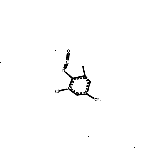 Cc1cc(C(F)(F)F)cc(Cl)c1N=C=O